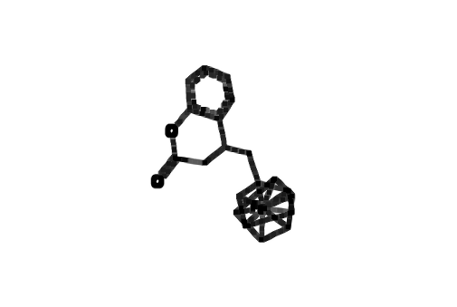 O=C1CC(C[C]23[CH]4[CH]5[CH]6[CH]2[Fe]56432789[CH]3[CH]2[CH]7[CH]8[CH]39)c2ccccc2O1